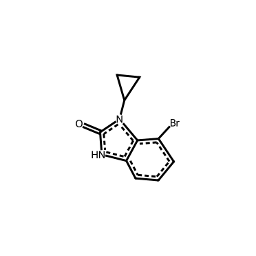 O=c1[nH]c2cccc(Br)c2n1C1CC1